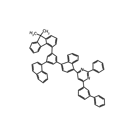 CC1(C)c2ccccc2-c2c(-c3cc(-c4cccc5ccccc45)cc(-c4ccc(-c5cc(-c6cccc(-c7ccccc7)c6)nc(-c6ccccc6)n5)c5ccccc45)c3)cccc21